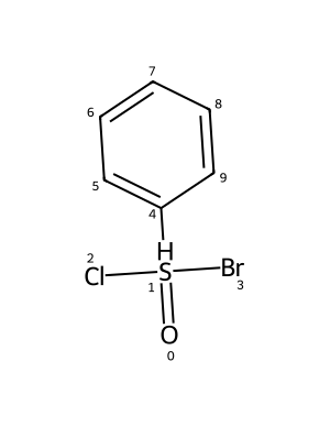 O=[SH](Cl)(Br)c1ccccc1